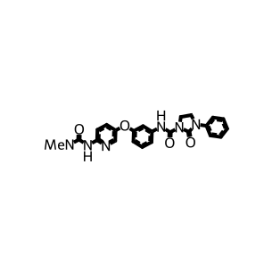 CNC(=O)Nc1ccc(Oc2cccc(NC(=O)N3CCN(c4ccccc4)C3=O)c2)cn1